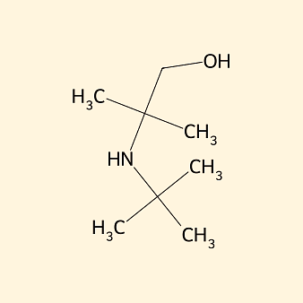 CC(C)(C)NC(C)(C)CO